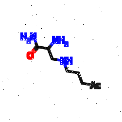 CC(=O)CCCNCC(N)C(N)=O